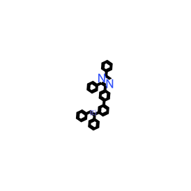 C(=C(/c1ccccc1)c1cccc(-c2ccc(-c3ncc(-c4ccccc4)nc3-c3ccccc3)cc2)c1)/c1ccccc1